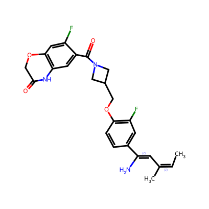 C/C=C(C)\C=C(/N)c1ccc(OCC2CN(C(=O)c3cc4c(cc3F)OCC(=O)N4)C2)c(F)c1